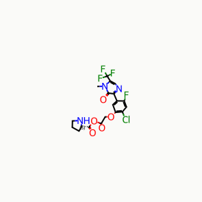 Cn1c(C(F)(F)F)cnc(-c2cc(OCC(=O)OC(=O)[C@@H]3CCCN3)c(Cl)cc2F)c1=O